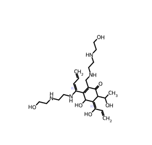 C=C/C=C(/NCCNCCO)C1=C(CNCCNCCO)C(=O)C(C(C)O)/C(=C(/O)C=C)C1O